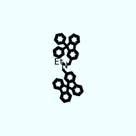 CCN(Cc1ccc2c(c1)C(c1ccccc1)(c1ccccc1)c1ccccc1-2)Cc1ccc2c(c1)C1(c3ccccc3-c3ccccc31)c1ccccc1-2